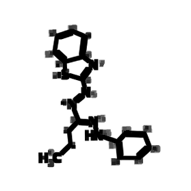 CCCC(N=Nc1nc2ccccc2s1)=NNc1ccccc1